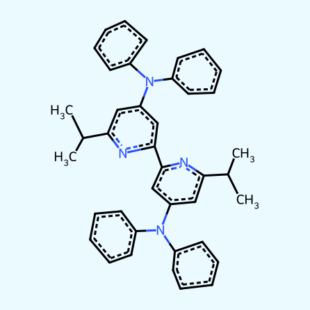 CC(C)c1cc(N(c2ccccc2)c2ccccc2)cc(-c2cc(N(c3ccccc3)c3ccccc3)cc(C(C)C)n2)n1